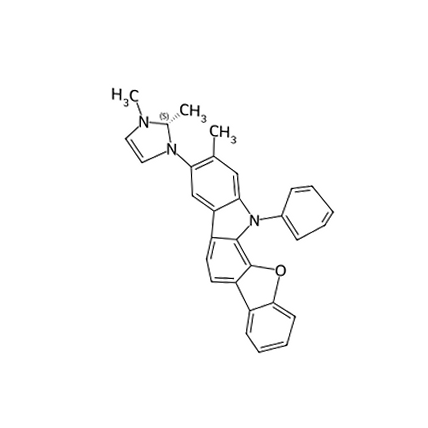 Cc1cc2c(cc1N1C=CN(C)[C@@H]1C)c1ccc3c4ccccc4oc3c1n2-c1ccccc1